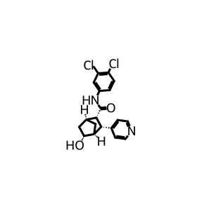 O=C(Nc1ccc(Cl)c(Cl)c1)[C@H]1[C@H]2C[C@@H]([C@H]1c1ccncc1)[C@H](O)C2